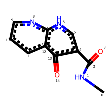 CNC(=O)c1c[nH]c2ncccc2c1=O